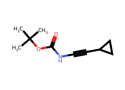 CC(C)(C)OC(=O)NC#CC1CC1